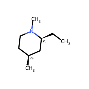 CC[C@H]1C[C@@H](C)CCN1C